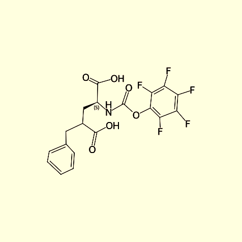 O=C(N[C@@H](CC(Cc1ccccc1)C(=O)O)C(=O)O)Oc1c(F)c(F)c(F)c(F)c1F